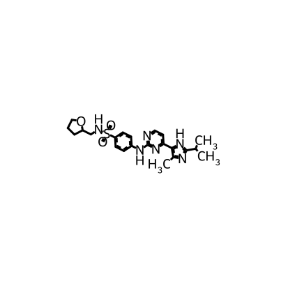 Cc1nc(C(C)C)[nH]c1-c1ccnc(Nc2ccc(S(=O)(=O)NCC3CCCO3)cc2)n1